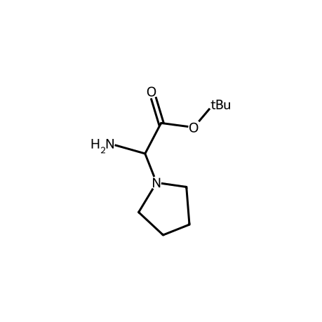 CC(C)(C)OC(=O)C(N)N1CCCC1